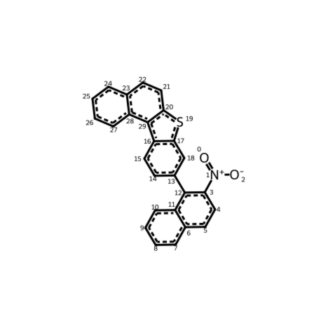 O=[N+]([O-])c1ccc2ccccc2c1-c1ccc2c(c1)sc1ccc3ccccc3c12